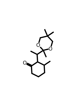 CC1CCCC(=O)C1C(C)C1(C)OCC(C)(C)CO1